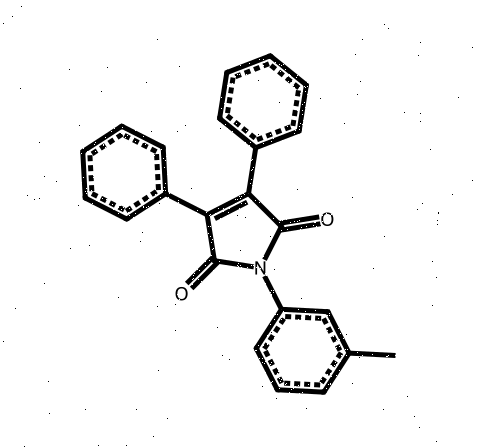 Cc1cccc(N2C(=O)C(c3ccccc3)=C(c3ccccc3)C2=O)c1